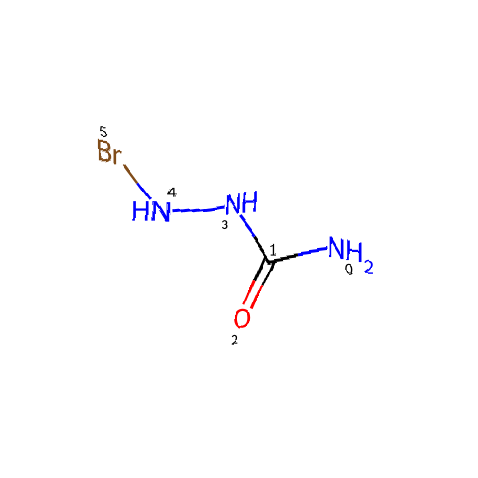 NC(=O)NNBr